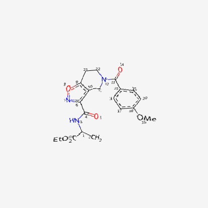 CCOC(=O)C(C)NC(=O)c1noc2c1CN(C(=O)c1ccc(OC)cc1)CC2